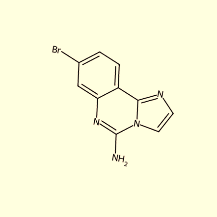 Nc1nc2cc(Br)ccc2c2nccn12